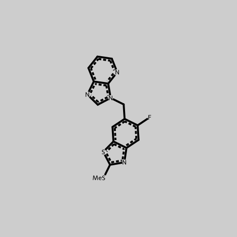 CSc1nc2cc(F)c(Cn3cnc4cccnc43)cc2s1